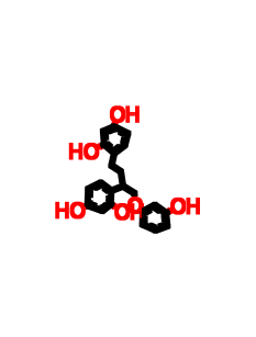 Oc1cccc(OCC(CCc2ccc(O)cc2O)c2ccc(O)cc2O)c1